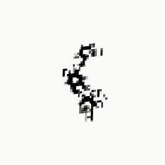 O=c1[nH]ncc(N2Cc3cc(F)c(OCC4CCCN4)cc3C2)c1C(F)(F)F